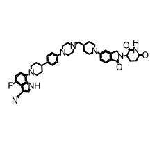 N#Cc1c[nH]c2c(N3CCC(c4ccc(N5CCN(CC6CCN(c7ccc8c(c7)CN(C7CCC(=O)NC7=O)C8=O)CC6)CC5)cc4)CC3)ccc(F)c12